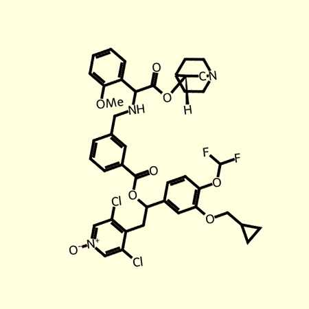 COc1ccccc1C(NCc1cccc(C(=O)OC(Cc2c(Cl)c[n+]([O-])cc2Cl)c2ccc(OC(F)F)c(OCC3CC3)c2)c1)C(=O)O[C@H]1CN2CCC1CC2